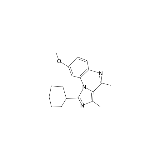 COc1ccc2nc(C)c3c(C)nc(C4CCCCC4)n3c2c1